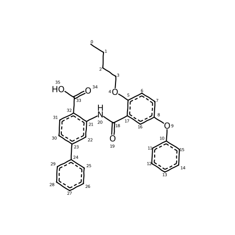 CCCCOc1ccc(Oc2ccccc2)cc1C(=O)Nc1cc(-c2ccccc2)ccc1C(=O)O